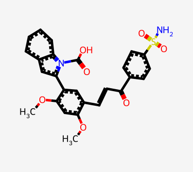 COc1cc(OC)c(-c2cc3ccccc3n2C(=O)O)cc1C=CC(=O)c1ccc(S(N)(=O)=O)cc1